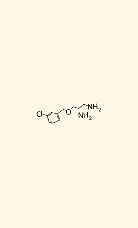 NC[C@H](N)COCc1cccc(Cl)c1